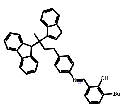 CC(C)(C)c1cccc(/C=N/c2ccc(CCC(C)(C3=CCc4ccccc43)C3c4ccccc4-c4ccccc43)cc2)c1O